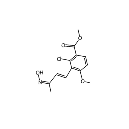 COC(=O)c1ccc(OC)c(/C=C/C(C)=N\O)c1Cl